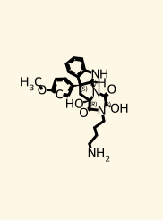 COc1ccc([C@]23C[C@@]4(O)C(=O)N(CCCCN)[C@H](O)C(=O)N4[C@H]2Nc2ccccc23)cc1